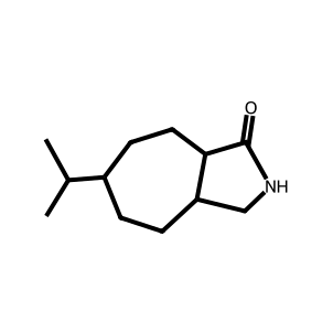 CC(C)C1CCC2CNC(=O)C2CC1